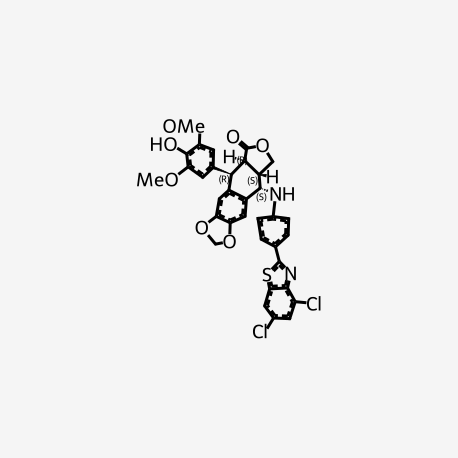 COc1cc([C@@H]2c3cc4c(cc3[C@@H](Nc3ccc(-c5nc6c(Cl)cc(Cl)cc6s5)cc3)[C@H]3COC(=O)[C@H]23)OCO4)cc(OC)c1O